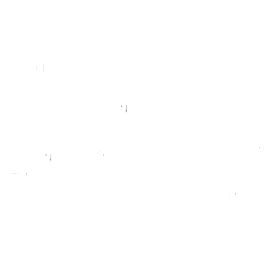 COC(=O)c1ccc(-n2ccc(Cl)c(C=NO)c2=O)cc1